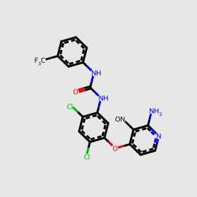 Nc1nccc(Oc2cc(NC(=O)Nc3cccc(C(F)(F)F)c3)c(Cl)cc2Cl)c1N=O